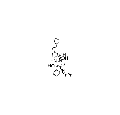 CCCC=Nn1c(=O)c(C2=NS(O)(O)c3cc(OCc4ccccc4)ccc3N2)c(O)c2ccccc21